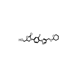 O=C1OC(CO)CN1c1ccc(-n2cc(COC3CCCCO3)cn2)c(F)c1